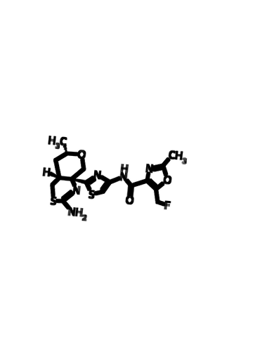 Cc1nc(C(=O)Nc2csc([C@]34CO[C@@H](C)C[C@H]3CSC(N)=N4)n2)c(CF)o1